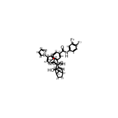 O=C(Nc1ccc(F)c(F)c1)c1ccc(Cl)c(S(=O)(=O)C2CC3CCC(C2)C3(O)C(O)C(O)c2ccc(-n3cccn3)cn2)c1